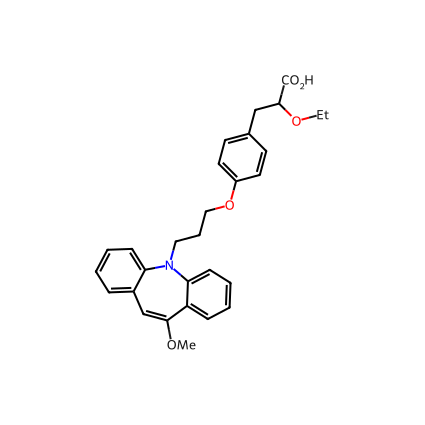 CCOC(Cc1ccc(OCCCN2c3ccccc3C=C(OC)c3ccccc32)cc1)C(=O)O